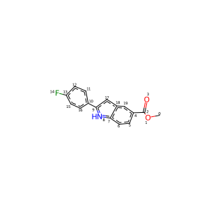 COC(=O)c1ccc2[nH]c(-c3ccc(F)cc3)cc2c1